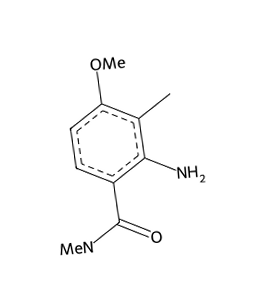 CNC(=O)c1ccc(OC)c(C)c1N